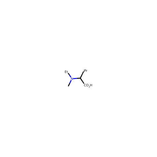 CCN(C)C(C(=O)O)C(C)C